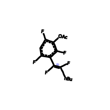 CCCC/C(F)=C(\F)c1c(F)cc(F)c(OC(C)=O)c1F